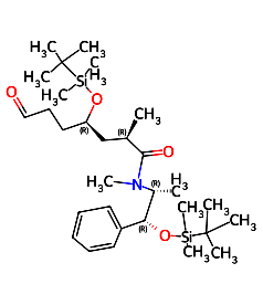 C[C@H](C[C@@H](CCC=O)O[Si](C)(C)C(C)(C)C)C(=O)N(C)[C@H](C)[C@H](O[Si](C)(C)C(C)(C)C)c1ccccc1